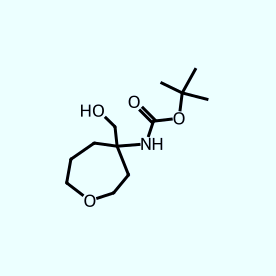 CC(C)(C)OC(=O)NC1(CO)CCCOCC1